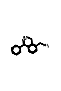 NCc1cccc(C(=O)c2ccccc2)c1CN